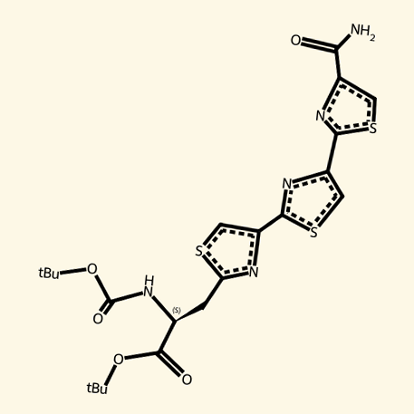 CC(C)(C)OC(=O)N[C@@H](Cc1nc(-c2nc(-c3nc(C(N)=O)cs3)cs2)cs1)C(=O)OC(C)(C)C